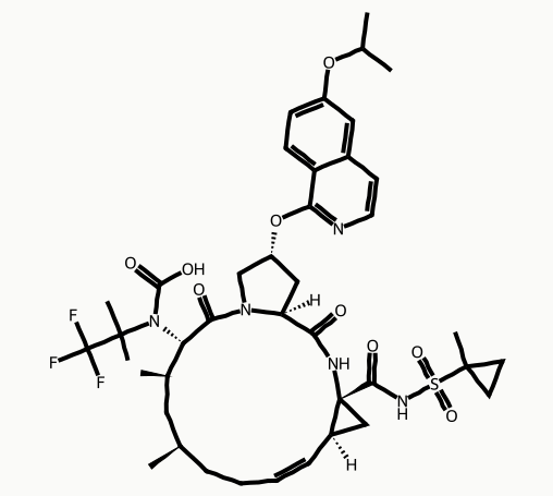 CC(C)Oc1ccc2c(O[C@@H]3C[C@H]4C(=O)N[C@]5(C(=O)NS(=O)(=O)C6(C)CC6)C[C@H]5C=CCC[C@@H](C)C[C@@H](C)[C@H](N(C(=O)O)C(C)(C)C(F)(F)F)C(=O)N4C3)nccc2c1